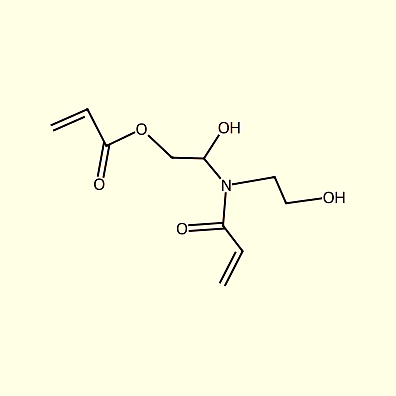 C=CC(=O)OCC(O)N(CCO)C(=O)C=C